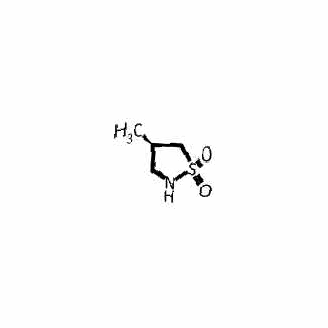 C[C@@H]1CNS(=O)(=O)C1